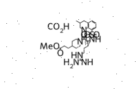 CC(=O)O.COC(=O)CCC1CCN(C(=O)[C@H](CCCNC(=N)N)NS(=O)(=O)c2cccc3c2NCC(C)C3)CC1